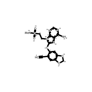 C#Cc1cc2c(cc1Sc1nc3c(N)ncnc3n1CCS(=O)(=O)NC)OCO2